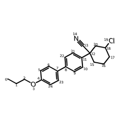 CCCOc1ccc(-c2ccc(C3(C#N)CCCC(Cl)C3)cc2)cc1